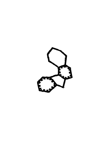 [CH]1c2ccccc2-c2c1ccc1c2CCCCC1